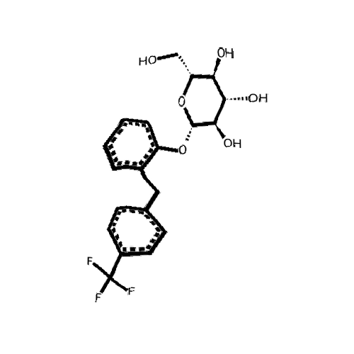 OC[C@H]1O[C@@H](Oc2ccccc2Cc2ccc(C(F)(F)F)cc2)[C@H](O)[C@@H](O)[C@@H]1O